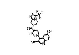 COc1ccc2ncc(C#N)c(N3CC[C@H](C(=O)N4CCn5c(nnc5C(F)(F)F)C4)[C@H](C)C3)c2c1